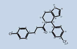 O=C(CCc1ccc(Cl)cc1)N1CCc2sccc2C1c1ccc(C(F)(F)F)cc1